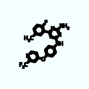 Cc1ccc(F)c(-c2cc(Nc3ccc(Oc4ccnc(C(F)(F)F)c4)cc3)nc(N)n2)c1